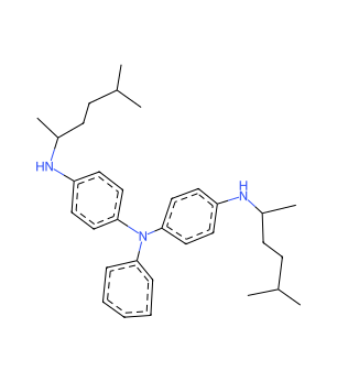 CC(C)CCC(C)Nc1ccc(N(c2ccccc2)c2ccc(NC(C)CCC(C)C)cc2)cc1